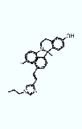 CCCn1cnc(C=Cc2ccc(C3(C)c4ccc(O)cc4CCN3c3ccc(F)cc3)cc2)c1